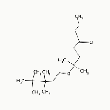 CCCC(=O)CCC(C)(C)OCCC(C)(C)C(C)(C)C